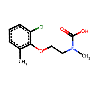 Cc1cccc(Cl)c1OCCN(C)C(=O)O